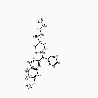 CCc1nc2cc(C(c3ccccc3)N3CCC(NCCOC)CC3)ccc2[nH]c1=O